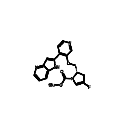 CC(C)(C)OC(=O)N1C=C(F)C[C@H]1COc1cnccc1-c1cc2ncccc2[nH]1